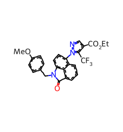 CCOC(=O)c1cnn(-c2ccc3c4c(cccc24)C(=O)N3Cc2ccc(OC)cc2)c1C(F)(F)F